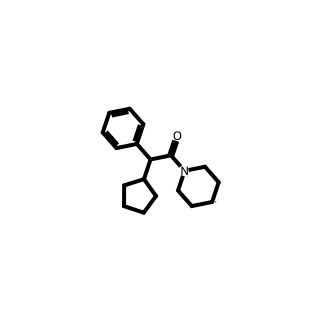 O=C(C(c1ccccc1)C1CCCC1)N1CC[CH]CC1